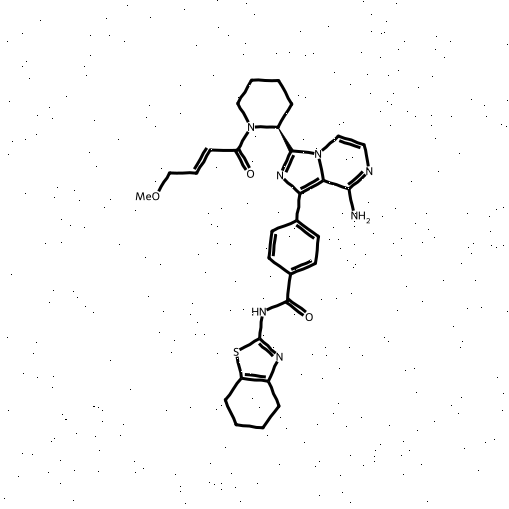 COC/C=C/C(=O)N1CCCC[C@H]1c1nc(-c2ccc(C(=O)Nc3nc4c(s3)CCCC4)cc2)c2c(N)nccn12